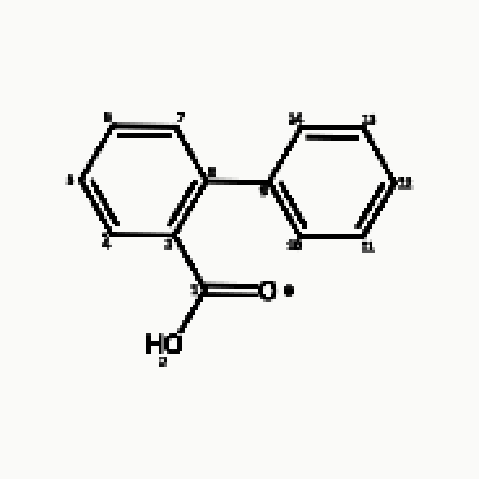 O=C(O)c1[c]cccc1-c1ccccc1